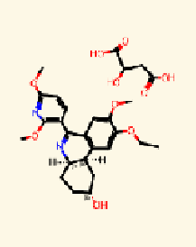 CCOc1cc2c(cc1OC)C(c1ccc(OC)nc1OC)=N[C@@H]1CC[C@@H](O)C[C@H]21.O=C(O)CC(O)C(=O)O